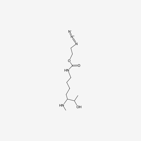 CNC(CCCCNC(=O)OCCN=[N+]=[N-])C(C)O